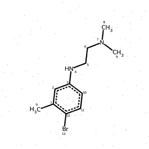 Cc1cc(NCCN(C)C)ccc1Br